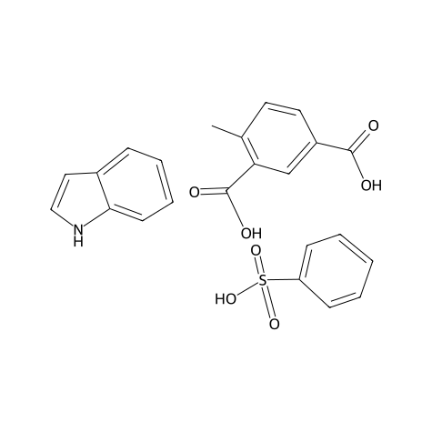 Cc1ccc(C(=O)O)cc1C(=O)O.O=S(=O)(O)c1ccccc1.c1ccc2[nH]ccc2c1